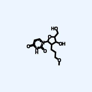 COCCCC1C(O)C(CO)OC1n1ccc(=O)[nH]c1=O